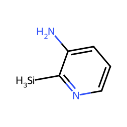 Nc1cccnc1[SiH3]